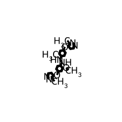 COc1cc(Oc2ccnnc2C)ccc1NNc1ccc(Oc2ccnnc2C)cc1C